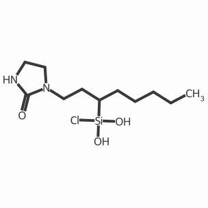 CCCCCC(CCN1CCNC1=O)[Si](O)(O)Cl